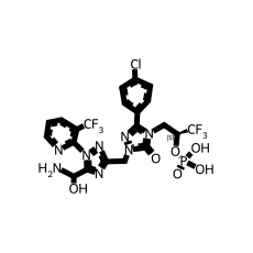 NC(O)c1nc(Cn2nc(-c3ccc(Cl)cc3)n(C[C@H](OP(=O)(O)O)C(F)(F)F)c2=O)nn1-c1ncccc1C(F)(F)F